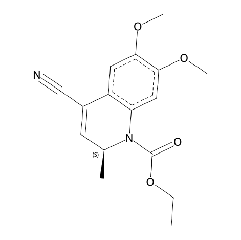 CCOC(=O)N1c2cc(OC)c(OC)cc2C(C#N)=C[C@@H]1C